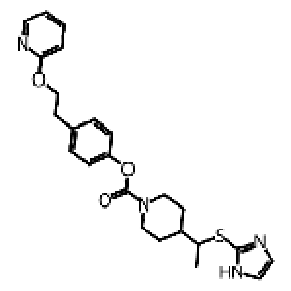 CC(Sc1ncc[nH]1)C1CCN(C(=O)Oc2ccc(CCOc3ccccn3)cc2)CC1